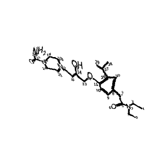 CCN(CC)C(=O)Cc1ccc(OCC(O)CN2CCN(C(N)=O)CC2)c(C(C)C)c1